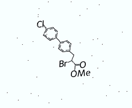 COC(=O)C(Br)Cc1ccc(-c2ccc(Cl)cc2)cc1